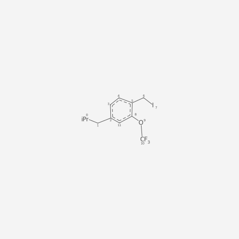 CC(C)Cc1ccc(CI)c(OC(F)(F)F)c1